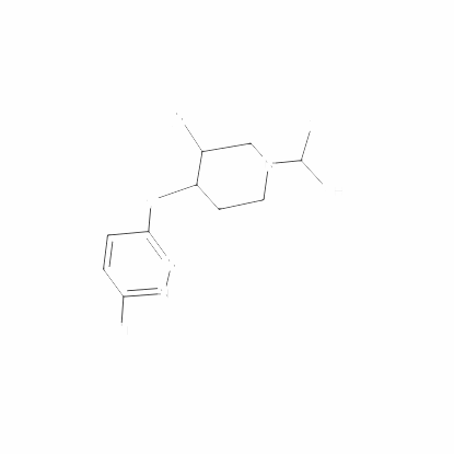 Cc1ccc(OC2CCN(C(C)S)CC2N)nn1